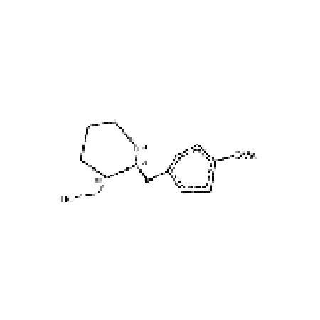 COc1ccc(C[C@@H]2NCCC[C@H]2CO)cc1